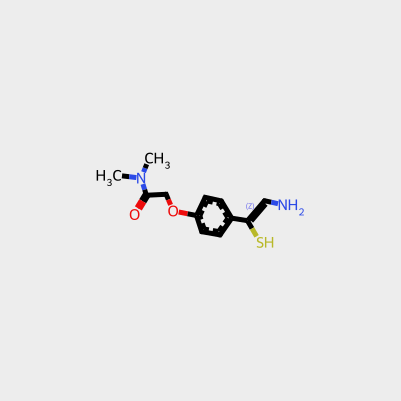 CN(C)C(=O)COc1ccc(/C(S)=C/N)cc1